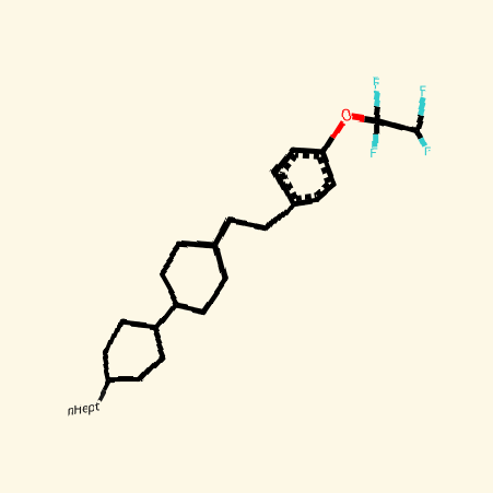 CCCCCCCC1CCC(C2CCC(CCc3ccc(OC(F)(F)C(F)F)cc3)CC2)CC1